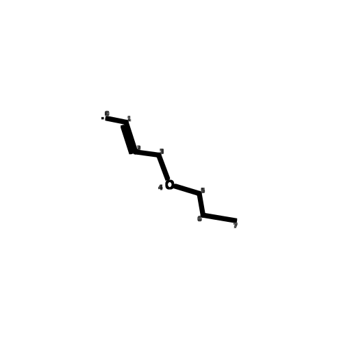 [CH2]C=CCOCCC